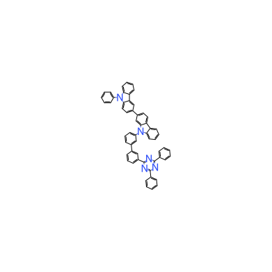 c1ccc(-c2nc(-c3ccccc3)nc(-c3cccc(-c4cccc(-n5c6ccccc6c6ccc(-c7ccc8c(c7)c7ccccc7n8-c7ccccc7)cc65)c4)c3)n2)cc1